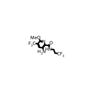 COc1nc(C(=O)NCCC(F)(F)F)c(N)cc1C(F)(F)F